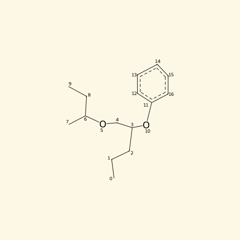 CCCC(COC(C)CC)Oc1ccccc1